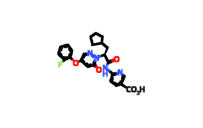 O=C(O)c1ccc(NC(=O)[C@H](CC2CCCC2)n2ncc(Oc3ccccc3F)cc2=O)nc1